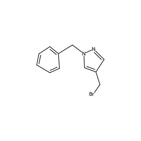 BrCc1cnn(Cc2ccccc2)c1